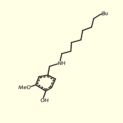 CCC(C)CCCCCCCNCc1ccc(O)c(OC)c1